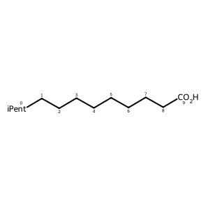 CCCC(C)CCCCCCCCC(=O)O